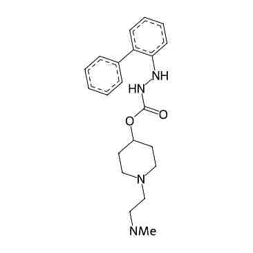 CNCCN1CCC(OC(=O)NNc2ccccc2-c2ccccc2)CC1